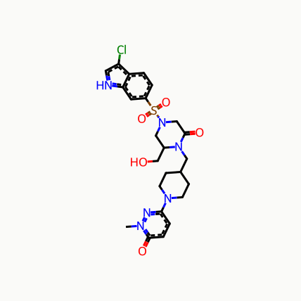 Cn1nc(N2CCC(CN3C(=O)CN(S(=O)(=O)c4ccc5c(Cl)c[nH]c5c4)CC3CO)CC2)ccc1=O